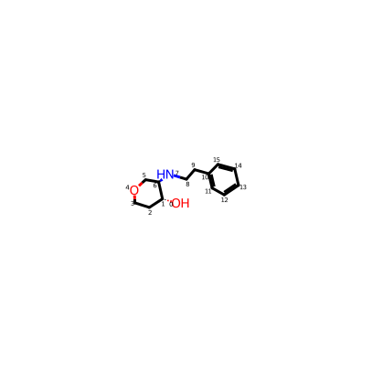 O[C@@H]1CCOC[C@H]1NCCc1ccccc1